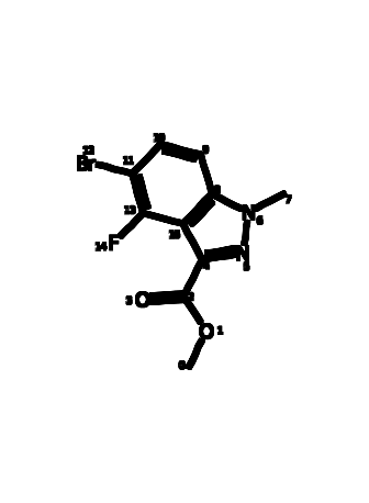 COC(=O)c1nn(C)c2ccc(Br)c(F)c12